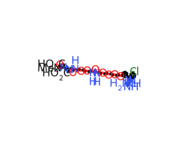 CNC(=O)CN(CCN(CC(=O)O)CC(=O)NCCOCCOCCNC(=O)NCCOCCOCCOCCOc1cccc(-c2nc(NC(=N)N)nc3ccc(Cl)cc23)c1)CC(=O)O